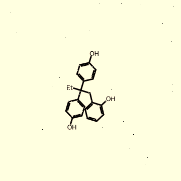 CCC(Cc1ccccc1O)(c1ccc(O)cc1)c1ccc(O)cc1